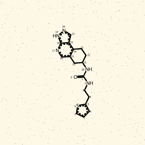 O=C(NCCc1cccs1)NC1CCc2c(cnc3[nH]ncc23)C1